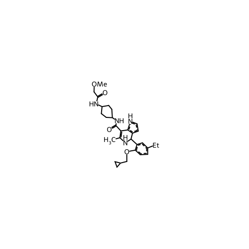 CCc1ccc(OCC2CC2)c(C2NC(C)=C(C(=O)NC3CCC(NC(=O)COC)CC3)c3[nH]ccc32)c1